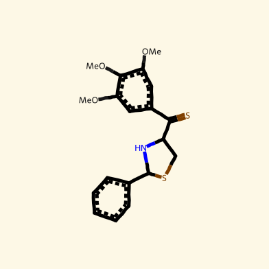 COc1cc(C(=S)C2CSC(c3ccccc3)N2)cc(OC)c1OC